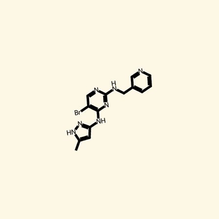 Cc1cc(Nc2nc(NCc3cccnc3)ncc2Br)n[nH]1